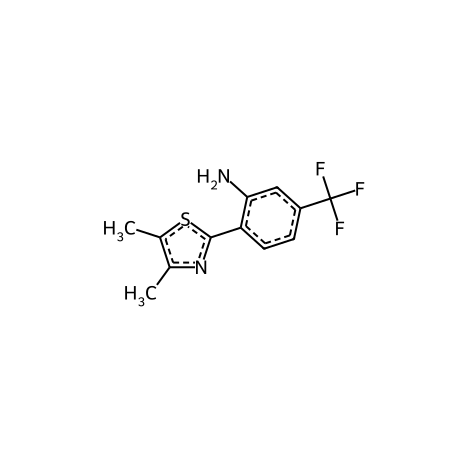 Cc1nc(-c2ccc(C(F)(F)F)cc2N)sc1C